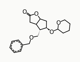 O=C1CC2C(C[C@@H](OC3CCCCO3)[C@@H]2COCc2ccccc2)O1